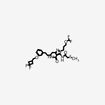 CSCC(=O)Nc1c2c(nn1CCCOC(F)F)CC(CCc1cccc(OCC3CC(F)(F)C3)c1)NC2=O